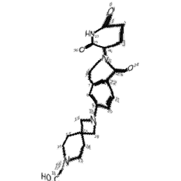 O=C1CCC(N2Cc3cc(N4CC5(CCN(C(=O)O)CC5)C4)ccc3C2=O)C(=O)N1